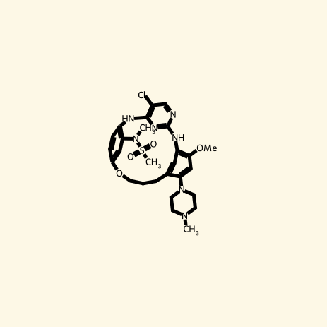 COc1cc(N2CCN(C)CC2)c2cc1Nc1ncc(Cl)c(n1)Nc1ccc(cc1N(C)S(C)(=O)=O)OCCC2